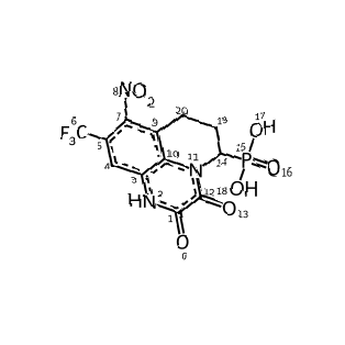 O=c1[nH]c2cc(C(F)(F)F)c([N+](=O)[O-])c3c2n(c1=O)C(P(=O)(O)O)CC3